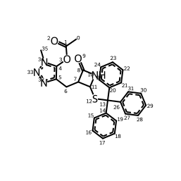 CC(=O)Oc1c(CC2C(=O)NC2SC(c2ccccc2)(c2ccccc2)c2ccccc2)nnn1C